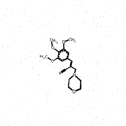 COc1cc(C=C(C#N)CN2CCOCC2)cc(OC)c1OC